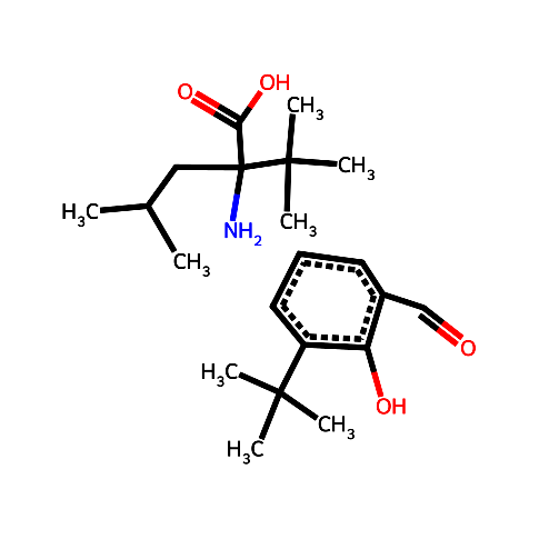 CC(C)(C)c1cccc(C=O)c1O.CC(C)CC(N)(C(=O)O)C(C)(C)C